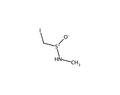 CN[S+]([O-])CI